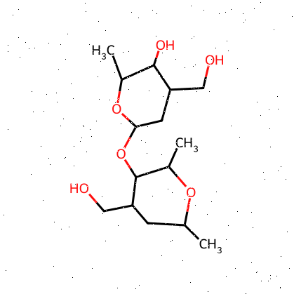 CC1CC(CO)C(OC2CC(CO)C(O)C(C)O2)C(C)O1